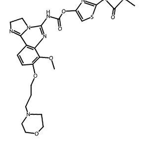 CNC(=O)Nc1nc(OC(=O)NC2=Nc3c(ccc(OCCCN4CCOCC4)c3OC)C3=NCCN23)cs1